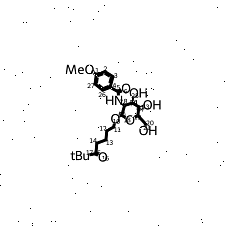 COc1ccc(C(=O)NC2[C@H](OCCCCC(=O)C(C)(C)C)OC(CO)[C@@H](O)[C@@H]2O)cc1